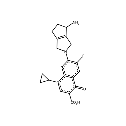 NC1CCC2=C1CN(c1nc3c(cc1F)c(=O)c(C(=O)O)cn3C1CC1)C2